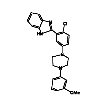 COc1cccc(N2CCN(c3ccc(Cl)c(-c4nc5ccccc5[nH]4)c3)CC2)c1